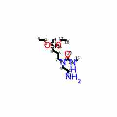 CCO[Si](C)(CCCN(CCN)C(=O)NC)OCC